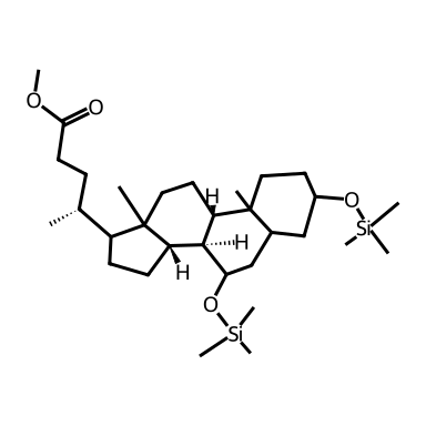 COC(=O)CC[C@@H](C)C1CC[C@H]2[C@@H]3C(O[Si](C)(C)C)CC4CC(O[Si](C)(C)C)CCC4(C)[C@H]3CCC12C